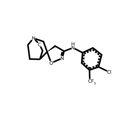 FC(F)(F)c1cc(NC2=NO[C@@]3(C2)CN2CCC3CC2)ccc1Cl